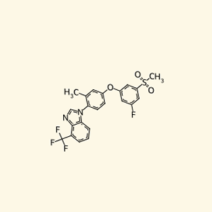 Cc1cc(Oc2cc(F)cc(S(C)(=O)=O)c2)ccc1-n1cnc2c(C(F)(F)F)cccc21